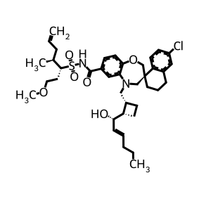 C=CC[C@H](C)[C@@H](CCOC)S(=O)(=O)NC(=O)c1ccc2c(c1)N(C[C@@H]1CC[C@@H]1[C@@H](O)/C=C/CCC)C[C@@]1(CCCc3cc(Cl)ccc31)CO2